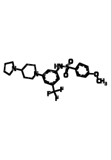 COc1ccc(S(=O)(=O)Nc2cc(N3CCC(N4CCCC4)CC3)cc(C(F)(F)F)c2)cc1